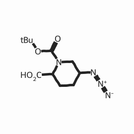 CC(C)(C)OC(=O)N1CC(N=[N+]=[N-])CCC1C(=O)O